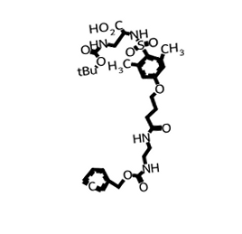 Cc1cc(OCCCC(=O)NCCNC(=O)OCc2ccccc2)cc(C)c1S(=O)(=O)NC(CNC(=O)OC(C)(C)C)C(=O)O